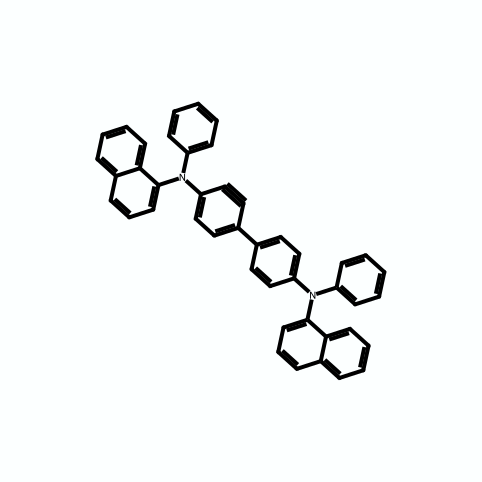 c1c(-c2ccc(N(c3ccccc3)c3cccc4ccccc34)cc2)ccc(N(c2ccccc2)c2cccc3ccccc23)c#1